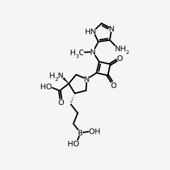 CN(c1[nH]cnc1N)c1c(N2C[C@H](CCCB(O)O)[C@](N)(C(=O)O)C2)c(=O)c1=O